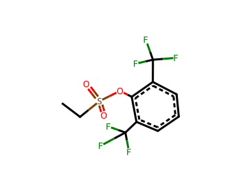 CCS(=O)(=O)Oc1c(C(F)(F)F)cccc1C(F)(F)F